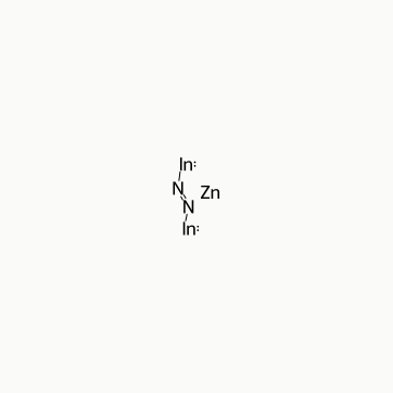 [In][N]=[N][In].[Zn]